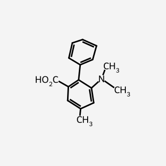 Cc1cc(C(=O)O)c(-c2ccccc2)c(N(C)C)c1